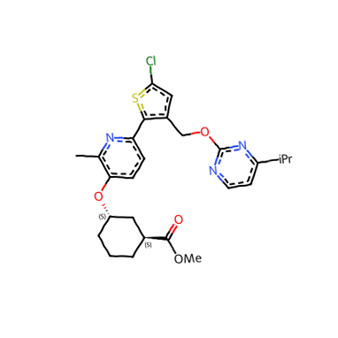 COC(=O)[C@H]1CCC[C@H](Oc2ccc(-c3sc(Cl)cc3COc3nccc(C(C)C)n3)nc2C)C1